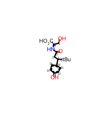 CC(C)(C)C(CC(=O)N[C@@H](CO)C(=O)O)c1ccc(O)cc1